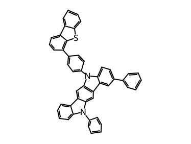 c1ccc(-c2ccc3c(c2)c2cc4c(cc2n3-c2ccc(-c3cccc5c3sc3ccccc35)cc2)c2ccccc2n4-c2ccccc2)cc1